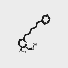 COc1ccc(CCCCCc2ccccc2)nc1/C=N\O